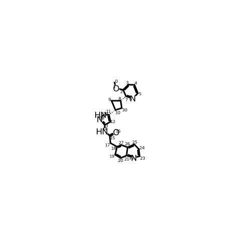 COc1cccnc1[C@H]1C[C@@H](c2cc(NC(=O)Cc3ccc4ncccc4c3)n[nH]2)C1